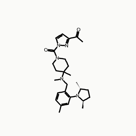 CC(=O)c1ccn(C(=O)N2CCC(C)(N(C)Cc3ccc(C)cc3N3[C@H](C)CC[C@H]3C)CC2)n1